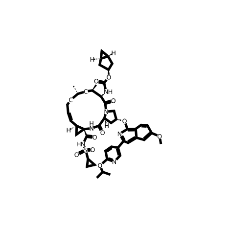 COc1ccc2c(O[C@@H]3C[C@H]4C(=O)N[C@]5(C(=O)NS(=O)(=O)C6CC6)C[C@H]5/C=C\CC[C@H](C)C[C@@H](C)[C@H](NC(=O)O[C@@H]5C[C@@H]6C[C@@H]6C5)C(=O)N4C3)nc(-c3ccc(OC(C)C)nc3)cc2c1